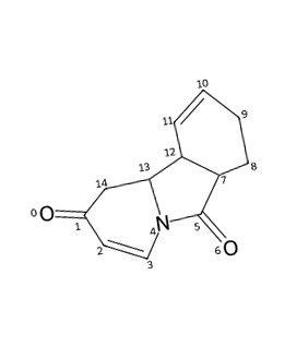 O=C1C=CN2C(=O)C3CCC=CC3C2C1